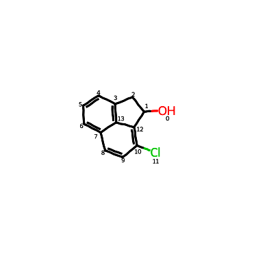 OC1Cc2cccc3ccc(Cl)c1c23